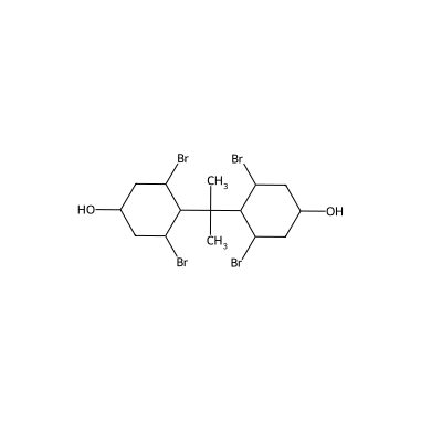 CC(C)(C1C(Br)CC(O)CC1Br)C1C(Br)CC(O)CC1Br